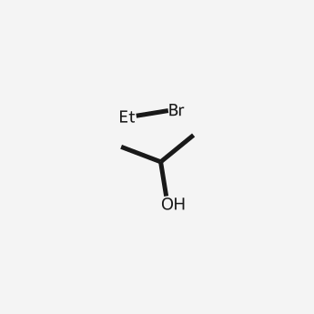 CC(C)O.CCBr